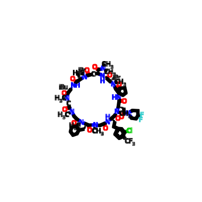 CC[C@H](C)[C@@H]1NC(=O)[C@H](CC(C)C)N(C)C(=O)C[C@@H](C(=O)N(C)C)NC(=O)[C@H](C(C)C)N(C)C(=O)C2(CCCC2)NC(=O)[C@H](CC(=O)N2CCC(F)(F)CC2)N(C)C(=O)[C@H](CCc2ccc(C(F)(F)F)c(Cl)c2)NC(=O)CN(C)C(=O)[C@H](CC2CCCCC2)N(C)C(=O)CN(C)C(=O)CN(C)C1=O